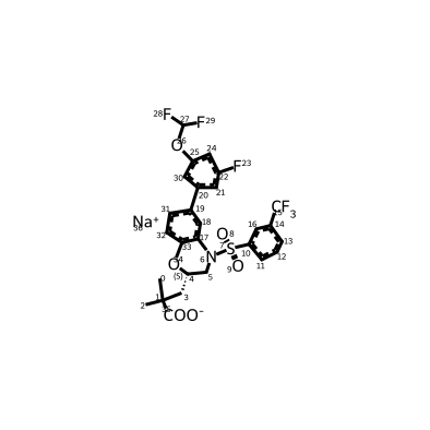 CC(C)(C[C@H]1CN(S(=O)(=O)c2cccc(C(F)(F)F)c2)c2cc(-c3cc(F)cc(OC(F)F)c3)ccc2O1)C(=O)[O-].[Na+]